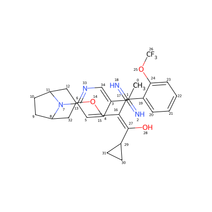 CC(=N)c1ccc(N2C3CCC2CC(OC/C(C(=N)c2ccccc2OC(F)(F)F)=C(/O)C2CC2)C3)nc1